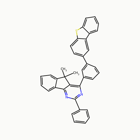 CC1(C)c2ccccc2-c2nc(-c3ccccc3)nc(-c3cccc(-c4ccc5sc6ccccc6c5c4)c3)c21